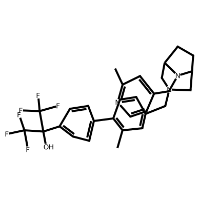 Cc1cc(CN2C3CCC2CN(Cc2ccc(-c4ccc(C(O)(C(F)(F)F)C(F)(F)F)cc4)c(C)c2)C3)ccn1